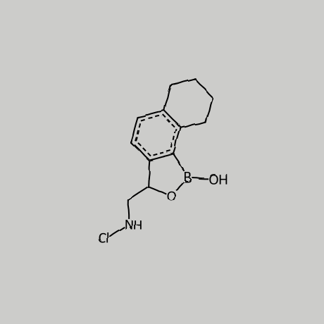 OB1OC(CNCl)c2ccc3c(c21)CCCC3